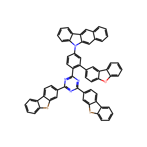 c1ccc2cc3c(cc2c1)c1ccccc1n3-c1ccc(-c2nc(-c3ccc4c(c3)sc3ccccc34)nc(-c3ccc4c(c3)sc3ccccc34)n2)c(-c2ccc3oc4ccccc4c3c2)c1